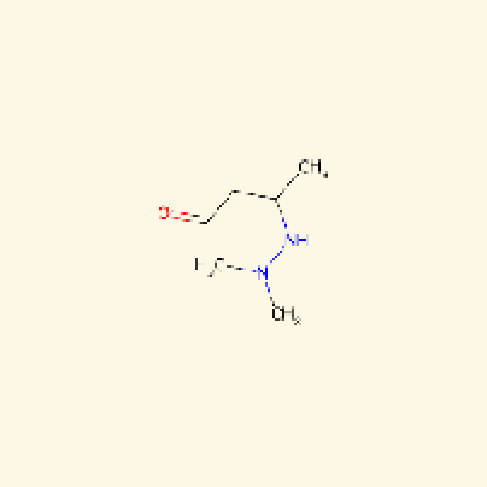 CC(CC=O)NN(C)C